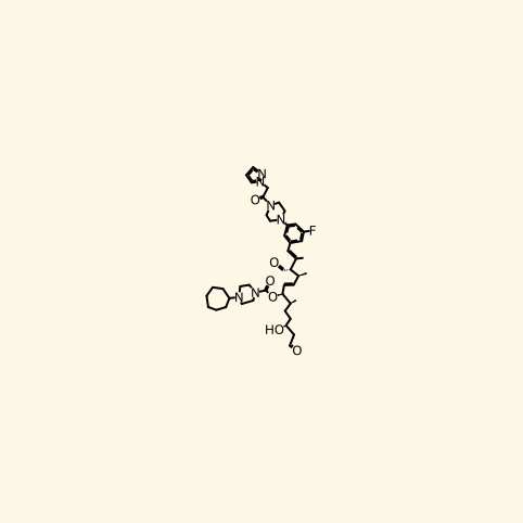 C/C(=C\c1cc(F)cc(N2CCN(C(=O)Cn3cccn3)CC2)c1)[C@@H](C=O)[C@@H](C)/C=C/[C@H](OC(=O)N1CCN(C2CCCCCC2)CC1)[C@@H](C)CC[C@@H](O)CC=O